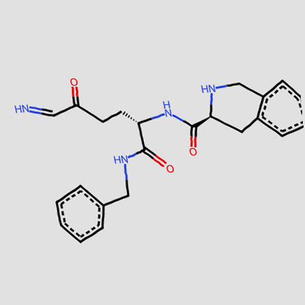 N=CC(=O)CC[C@H](NC(=O)[C@@H]1Cc2ccccc2CN1)C(=O)NCc1ccccc1